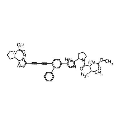 COC(=O)NC(C(=O)N1CCCC1c1ncc(-c2ccc(C#CC#Cc3cnc(C4CCCN4C(=O)O)[nH]3)c(-c3ccccc3)c2)[nH]1)C(C)C